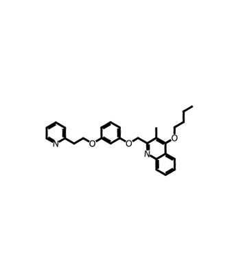 CCCCOc1c(C)c(COc2cccc(OCCc3ccccn3)c2)nc2ccccc12